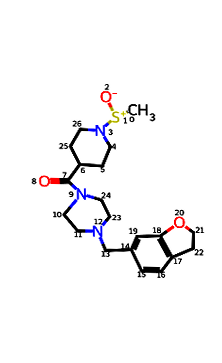 C[S+]([O-])N1CCC(C(=O)N2CCN(Cc3ccc4c(c3)OCC4)CC2)CC1